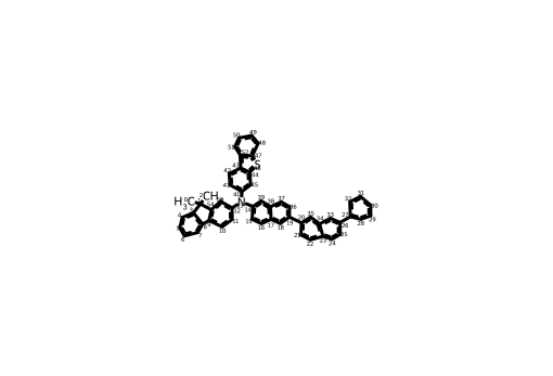 CC1(C)c2ccccc2-c2ccc(N(c3ccc4cc(-c5ccc6ccc(-c7ccccc7)cc6c5)ccc4c3)c3ccc4c(c3)sc3ccccc34)cc21